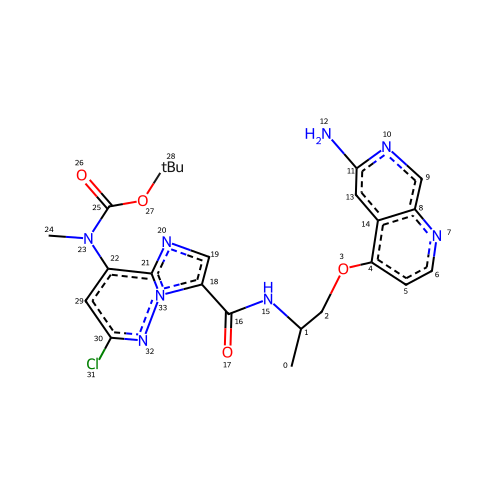 CC(COc1ccnc2cnc(N)cc12)NC(=O)c1cnc2c(N(C)C(=O)OC(C)(C)C)cc(Cl)nn12